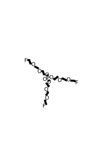 O=P(OCCOCCOCCF)(OCCOCCOCCF)OCCOCCOCCF